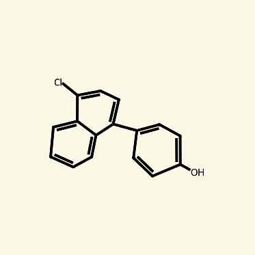 Oc1ccc(-c2ccc(Cl)c3ccccc23)cc1